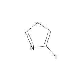 IC1=CCC=N1